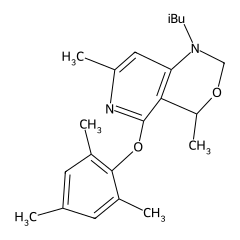 CCC(C)N1COC(C)c2c1cc(C)nc2Oc1c(C)cc(C)cc1C